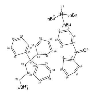 CCCC[N+](C)(CCCC)CCCC.O=C(c1ccccc1)c1ccccc1.[BH3-]CCCC(c1ccccc1)(c1ccccc1)c1ccccc1